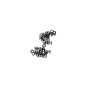 CN[C@@H](C)C(=O)N[C@H](C(=O)N1C[C@@H](NC(=O)c2ccc(C(=O)Nc3ccc4c(c3)CN(C(=O)[C@@H](NC(=O)[C@@H](NC)C(C)C)C(C)(C)C)[C@H](C(=O)N[C@@H]3CCCc5ccccc53)C4)cc2)C[C@H]1C(=O)N[C@@H]1CCCc2ccccc21)C(C)(C)C